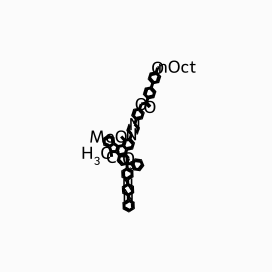 CCCCCCCCOc1ccc(-c2ccc(C(=O)Oc3ccc(N4CCN(c5ccc6c7c(c8c(c6c5OC)-c5ccccc5C8(C)C)C=CC(c5ccccc5)(c5ccc(N6CCN(c8ccccc8)CC6)cc5)O7)CC4)cc3)cc2)cc1